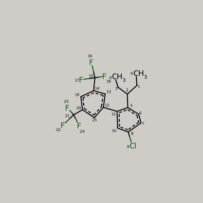 CCC(CC)c1ccc(Cl)cc1-c1cc(C(F)(F)F)cc(C(F)(F)F)c1